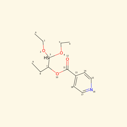 CCO[SiH](OCC)C(CC)OC(=O)c1ccncc1